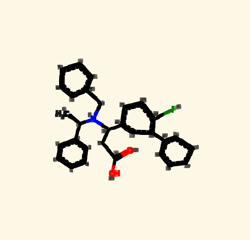 C[C@H](c1ccccc1)N(Cc1ccccc1)C(CC(=O)O)c1ccc(F)c(-c2ccccc2)c1